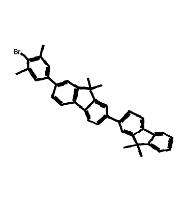 Cc1cc(-c2ccc3c(c2)C(C)(C)c2cc(-c4ccc5c(c4)C(C)(C)c4ccccc4-5)ccc2-3)cc(C)c1Br